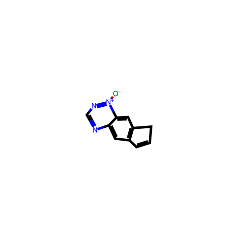 [O-][n+]1ncnc2cc3c(cc21)CC=C3